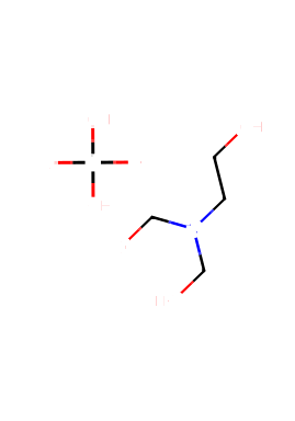 OCCN(CO)CO.O[Si](O)(O)O